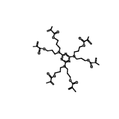 C=C(C)C(=O)OCCCN(CCCOC(=O)C(=C)C)c1nc(N(CCCOC(=O)C(=C)C)CCCOC(=O)C(=C)C)nc(N(CCCOC(=O)C(=C)C)CCCOC(=O)C(=C)C)n1